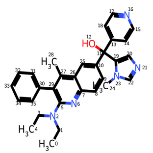 CCN(CC)c1nc2ccc(C(O)(c3ccncc3)c3cncn3C)cc2c(C)c1-c1ccccc1